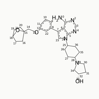 Nc1ncnc2c1c(-c1cccc(OCC34CCC(CC3)O4)c1)cn2C1CCC(N2CC[C@H](O)C2)CC1